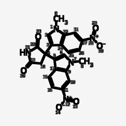 Cn1cc(C2(c3cn(C)c4cc([N+](=O)[O-])ccc34)CC(=O)NC2=O)c2ccc([N+](=O)[O-])cc21